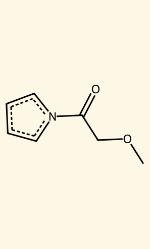 COCC(=O)n1cccc1